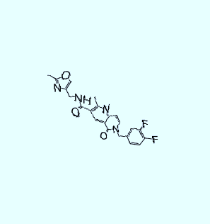 Cc1nc(CNC(=O)c2cc3c(=O)n(Cc4ccc(F)c(F)c4)ccc3nc2C)co1